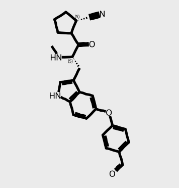 CN[C@@H](Cc1c[nH]c2ccc(Oc3ccc(C=O)cc3)cc12)C(=O)C1CCC[C@@H]1C#N